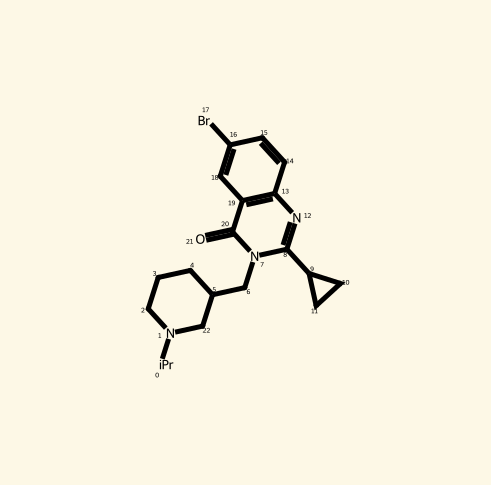 CC(C)N1CCCC(Cn2c(C3CC3)nc3ccc(Br)cc3c2=O)C1